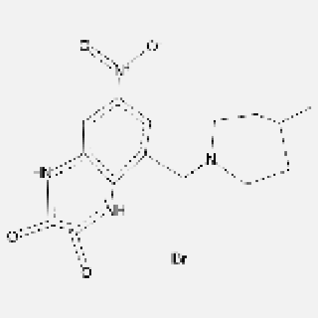 Br.CC1CCN(Cc2cc([N+](=O)[O-])cc3[nH]c(=O)c(=O)[nH]c23)CC1